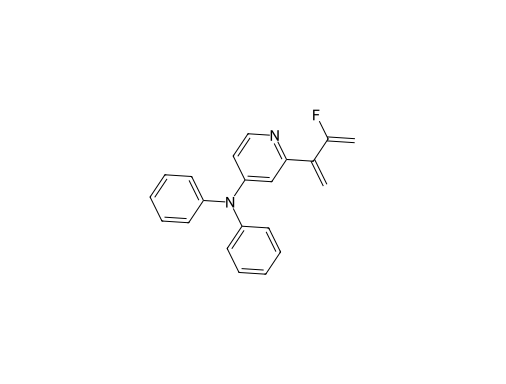 C=C(F)C(=C)c1cc(N(c2ccccc2)c2ccccc2)ccn1